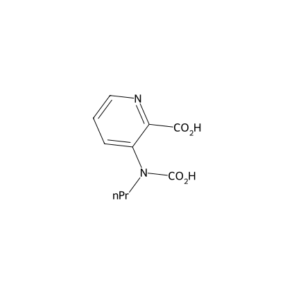 CCCN(C(=O)O)c1cccnc1C(=O)O